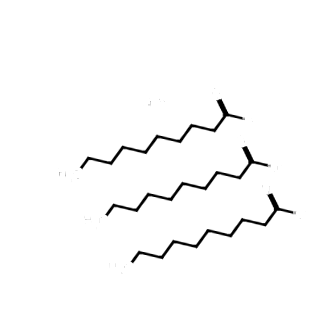 CCCCCCCCCC(=O)[O-].CCCCCCCCCC(=O)[O-].CCCCCCCCCC(=O)[O-].[Sb+3]